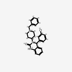 O=C1Nc2ccccc2C(c2cccc(Cl)c2)N1C1CCN(Cc2ccccc2)CC1